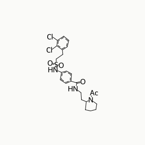 CC(=O)N1CCCCC1CCNC(=O)c1ccc(NS(=O)(=O)CCc2cccc(Cl)c2Cl)cc1